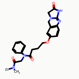 CCN(C)C(=O)CN(C(=O)CCCOc1ccc2c(c1)CN1CC(=O)NC1=N2)c1ccccc1